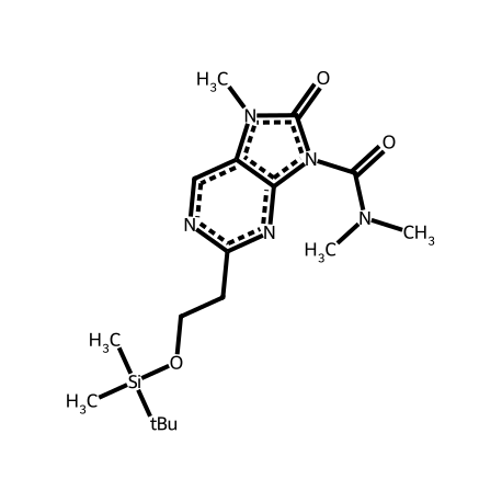 CN(C)C(=O)n1c(=O)n(C)c2cnc(CCO[Si](C)(C)C(C)(C)C)nc21